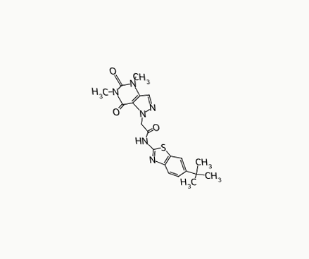 Cn1c(=O)c2c(cnn2CC(=O)Nc2nc3ccc(C(C)(C)C)cc3s2)n(C)c1=O